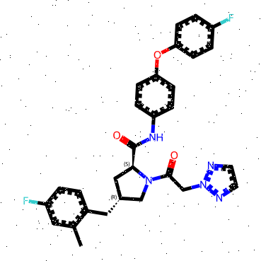 Cc1cc(F)ccc1C[C@@H]1C[C@@H](C(=O)Nc2ccc(Oc3ccc(F)cc3)cc2)N(C(=O)Cn2nccn2)C1